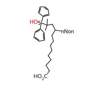 CCCCCCCCCC(CCCCCCCCC(=O)O)CC(C)(C)[Si](O)(c1ccccc1)c1ccccc1